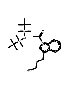 CC(=O)n1cc(CCCO)c2ccccc21.CC(C)(C)[Si](C)(C)O[Si](C)(C)C(C)(C)C